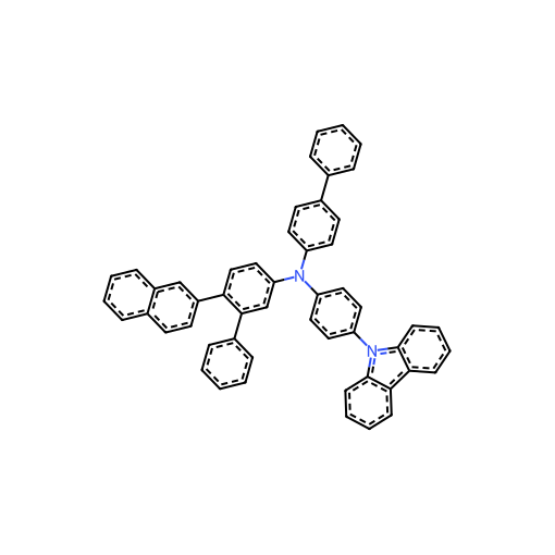 c1ccc(-c2ccc(N(c3ccc(-n4c5ccccc5c5ccccc54)cc3)c3ccc(-c4ccc5ccccc5c4)c(-c4ccccc4)c3)cc2)cc1